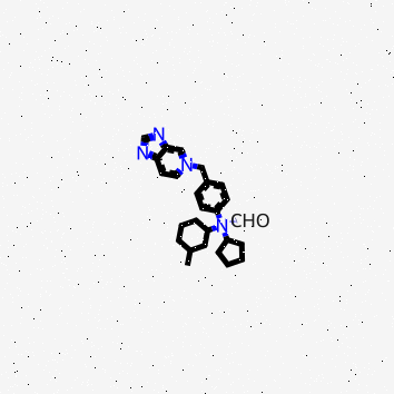 CC1CCCC([N+](C=O)(c2ccc(Cn3ccc4ncnc-4c3)cc2)C2CCCC2)C1